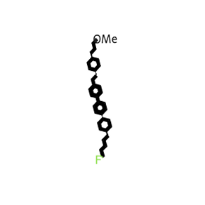 COCCC[C@H]1CC[C@H](CCc2ccc(-c3ccc([C@H]4CC[C@H](CCCCCF)CC4)cc3)cc2)CC1